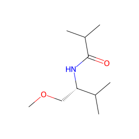 COC[C@H](NC(=O)C(C)C)C(C)C